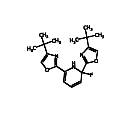 CC(C)(C)c1coc(C2=CC=CC(F)(c3nc(C(C)(C)C)co3)N2)n1